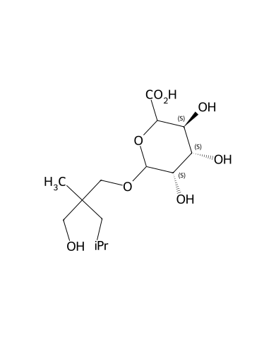 CC(C)CC(C)(CO)COC1OC(C(=O)O)[C@@H](O)[C@H](O)[C@@H]1O